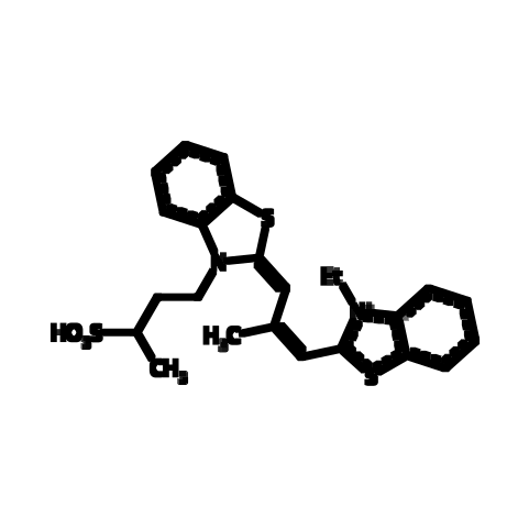 CC[n+]1c(C=C(C)C=C2Sc3ccccc3N2CCC(C)S(=O)(=O)O)sc2ccccc21